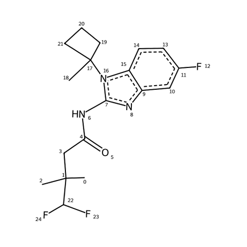 CC(C)(CC(=O)Nc1nc2cc(F)ccc2n1C1(C)CCC1)C(F)F